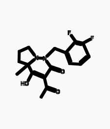 CC(=O)C1=C(O)C2(C)CCCN2N(Cc2cccc(F)c2F)C1=O